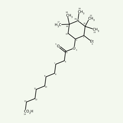 CCC1C(OC(=O)CCCCCCCCC(=O)O)CC(C)(C)N(C)C1(C)C